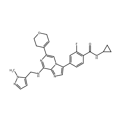 Cn1nccc1CNc1nc(C2=CCOCC2)cn2c(-c3ccc(C(=O)NC4CC4)c(F)c3)cnc12